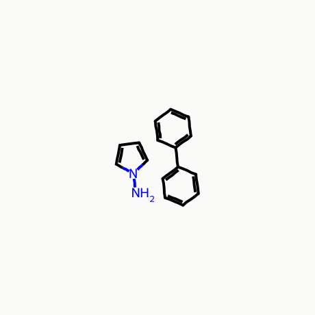 Nn1cccc1.c1ccc(-c2ccccc2)cc1